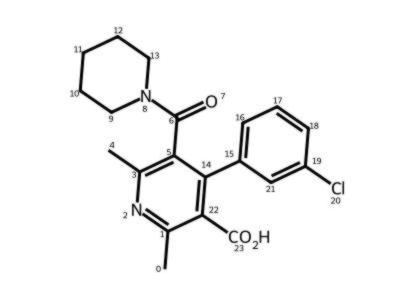 Cc1nc(C)c(C(=O)N2CCCCC2)c(-c2cccc(Cl)c2)c1C(=O)O